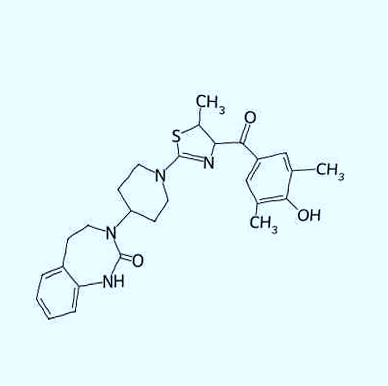 Cc1cc(C(=O)C2N=C(N3CCC(N4CCc5ccccc5NC4=O)CC3)SC2C)cc(C)c1O